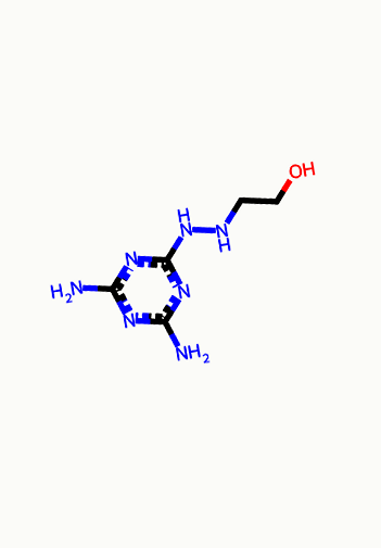 Nc1nc(N)nc(NNCCO)n1